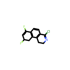 FC1=CC(F)Cc2c1ccc1c2CCN=C1Cl